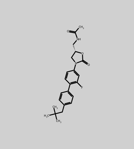 CC(=O)NC[C@H]1CN(c2ccc(-c3ccc(CC(C)(C)C)cc3)c(F)c2)C(=O)O1